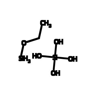 CCO[SiH3].O[Si](O)(O)O